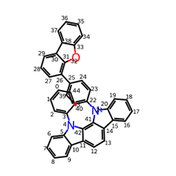 c1ccc(-n2c3ccccc3c3ccc4c5ccccc5n(-c5ccc(-c6cccc7c6oc6ccccc67)cc5)c4c32)cc1